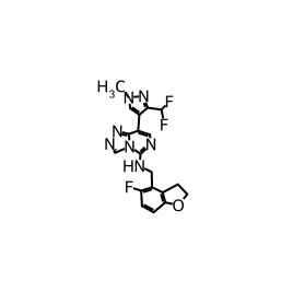 Cn1cc(-c2cnc(NCc3c(F)ccc4c3CCO4)n3cnnc23)c(C(F)F)n1